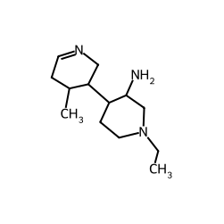 CCN1CCC(C2CN=CCC2C)C(N)C1